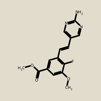 COC(=O)c1cc(/C=C/c2cnc(N)nc2)c(F)c(OC)c1